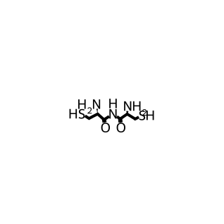 N[C@@H](CS)C(=O)NC(=O)[C@@H](N)CS